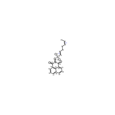 C/C=C\CC/C=C/S(=O)(=O)ON1C(=O)c2cccc3cccc(c23)C1=O